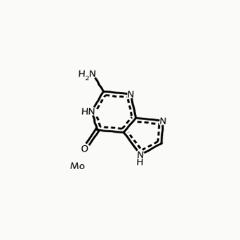 Nc1nc2nc[nH]c2c(=O)[nH]1.[Mo]